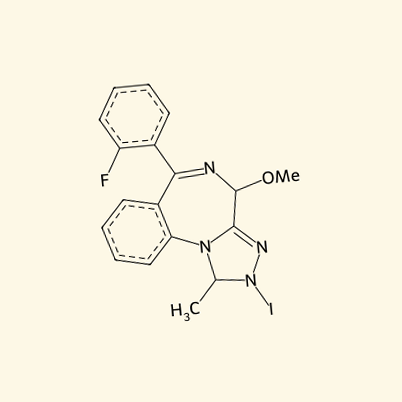 COC1N=C(c2ccccc2F)c2ccccc2N2C1=NN(I)C2C